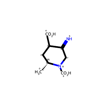 C[C@@H]1CC(C(=O)O)C(=N)CN1C(=O)O